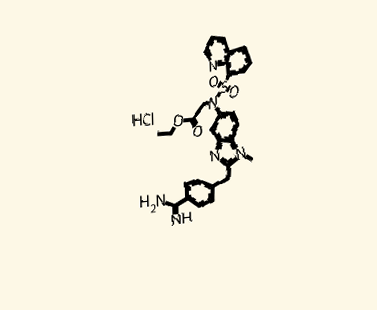 CCOC(=O)CN(c1ccc2c(c1)nc(Cc1ccc(C(=N)N)cc1)n2C)S(=O)(=O)c1cccc2cccnc12.Cl